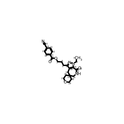 CCn1nc(CCCOC(=O)c2ccc(C#N)cc2)c2c1C(=O)NCC1(CCOCC1)C2